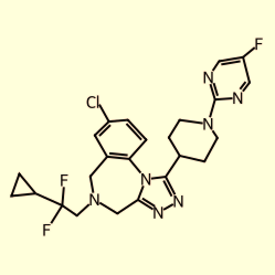 Fc1cnc(N2CCC(c3nnc4n3-c3ccc(Cl)cc3CN(CC(F)(F)C3CC3)C4)CC2)nc1